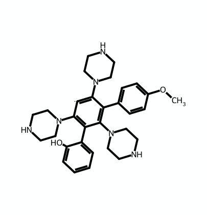 COc1ccc(-c2c(N3CCNCC3)[c]c(N3CCNCC3)c(-c3ccccc3O)c2N2CCNCC2)cc1